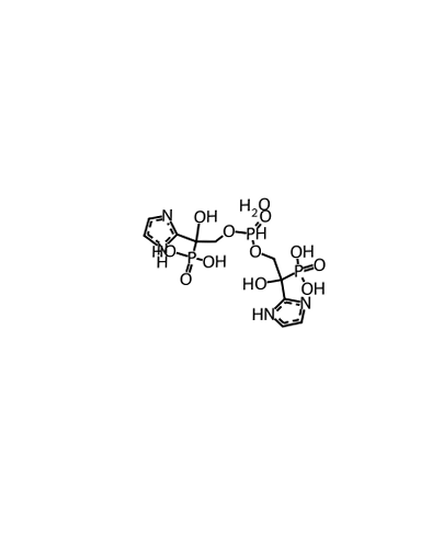 O.O=[PH](OCC(O)(c1ncc[nH]1)P(=O)(O)O)OCC(O)(c1ncc[nH]1)P(=O)(O)O